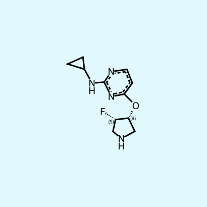 F[C@H]1CNC[C@H]1Oc1ccnc(NC2CC2)n1